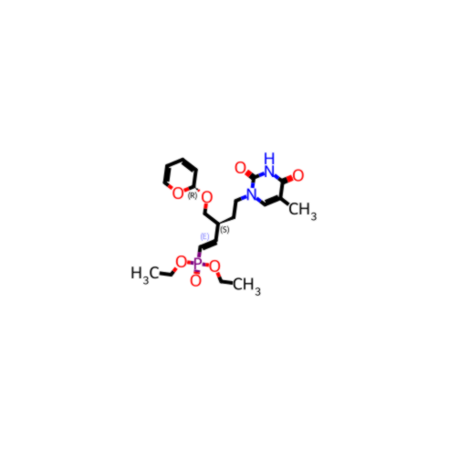 CCOP(=O)(/C=C/[C@H](CCn1cc(C)c(=O)[nH]c1=O)CO[C@H]1C=CC=CO1)OCC